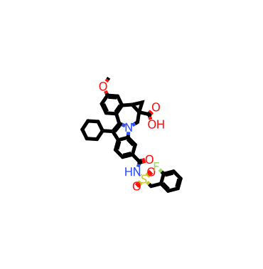 COc1ccc2c(c1)C1CC1(C(=O)O)Cn1c-2c(C2CCCCC2)c2ccc(C(=O)NS(=O)(=O)Cc3ccccc3F)cc21